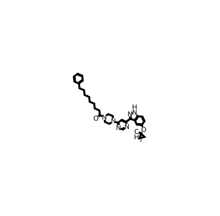 CC1(Oc2ccc3[nH]nc(-c4cc(N5CCN(C(=O)CCCCCCCCc6ccccc6)CC5)ncn4)c3c2)CC1